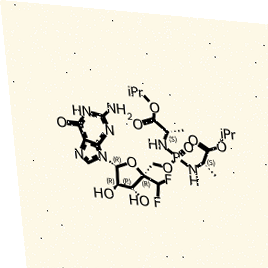 CC(C)OC(=O)[C@H](C)NP(=O)(N[C@@H](C)C(=O)OC(C)C)OC[C@@]1(C(F)F)O[C@@H](n2cnc3c(=O)[nH]c(N)nc32)[C@H](O)[C@H]1O